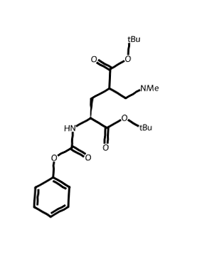 CNCC(C[C@H](NC(=O)Oc1ccccc1)C(=O)OC(C)(C)C)C(=O)OC(C)(C)C